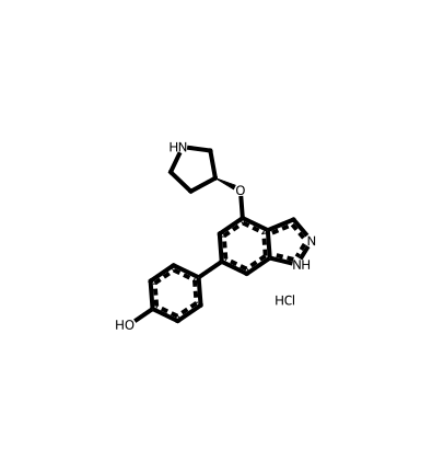 Cl.Oc1ccc(-c2cc(O[C@H]3CCNC3)c3cn[nH]c3c2)cc1